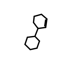 C1=C[C](C2CCCCC2)CCC1